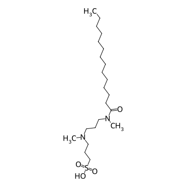 CCCCCCCCCCCCCC(=O)N(C)CCCN(C)CCCS(=O)(=O)O